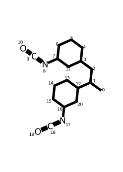 CC(CC1CCCC(N=C=O)C1)C1CCCC(N=C=O)C1